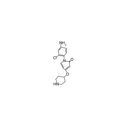 Nc1ccc(-n2ccc(OC3CCNCC3)cc2=O)c(Cl)c1